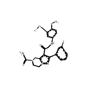 COc1ccc(NC(=O)c2c(-c3cccc(F)c3)nn3c2CN(C(N)=O)CC3)cc1OC